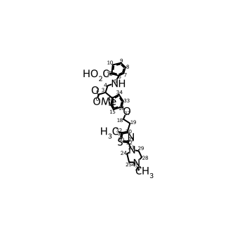 COC(=O)C(CNc1ccccc1C(=O)O)c1ccc(OCCc2nc(N3CCN(C)CC3)sc2C)cc1